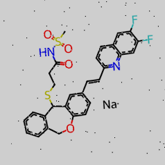 CS(=O)(=O)NC(=O)CCSC1c2ccccc2COc2ccc(C=Cc3ccc4cc(F)c(F)cc4n3)cc21.[Na]